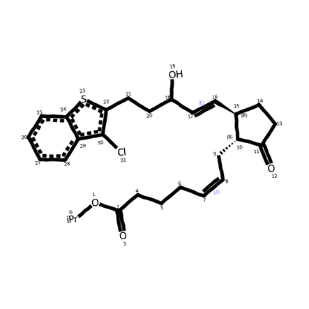 CC(C)OC(=O)CCC/C=C\C[C@H]1C(=O)CC[C@@H]1/C=C/C(O)CCc1sc2ccccc2c1Cl